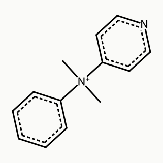 C[N+](C)(c1ccccc1)c1ccncc1